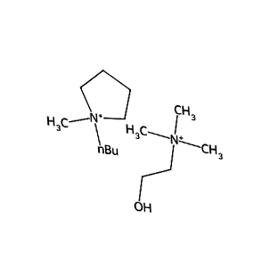 CCCC[N+]1(C)CCCC1.C[N+](C)(C)CCO